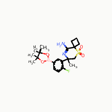 CC1(c2cc(B3OC(C)(C)C(C)(C)O3)ccc2F)CS(=O)(=O)C2(CCC2)C(N)=N1